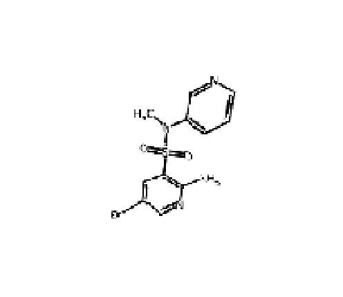 CN(c1cccnc1)S(=O)(=O)c1cc(Br)cnc1N